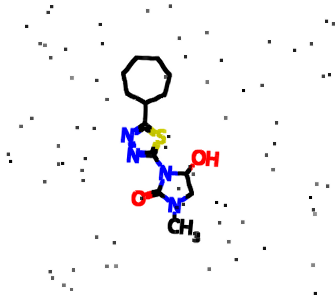 CN1CC(O)N(c2nnc(C3CCCCCC3)s2)C1=O